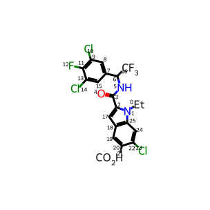 CCn1c(C(=O)NC(c2cc(Cl)c(F)c(Cl)c2)C(F)(F)F)cc2cc(C(=O)O)c(Cl)cc21